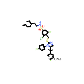 C=C/C=C\C(=C/C)CCNS(=O)(=O)c1cc(F)c(CSc2ncc(C(C)(C)c3ccc(F)c(OC)c3)n2-c2ccc(F)cc2)c(Cl)c1